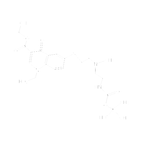 CCOC(=O)c1cn(CC)c2ccc(SCCN(C)CCNC(=O)OC(C)(C)C)cc2c1=O